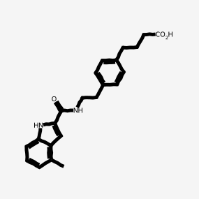 Cc1cccc2[nH]c(C(=O)NCCc3ccc(CCCC(=O)O)cc3)cc12